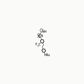 CCCCc1ccc(CCc2ccc(-c3noc(C4CCCN4)n3)cc2C(F)(F)F)cc1